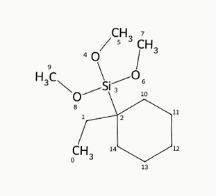 CCC1([Si](OC)(OC)OC)CCCCC1